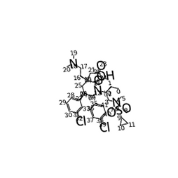 CC[C@@H](CN(C)S(=O)(=O)C1CC1)N1C(=O)[C@@](CCN(C)C)(CC(=O)O)C[C@H](c2cccc(Cl)c2)[C@H]1c1ccc(Cl)cc1